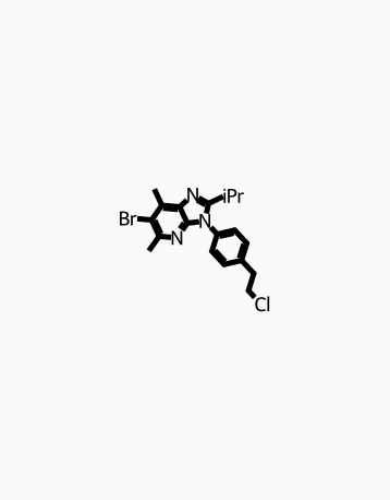 Cc1nc2c(nc(C(C)C)n2-c2ccc(CCCl)cc2)c(C)c1Br